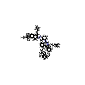 CC1(C)C(/C=C/C2=C(Oc3ccc(CCC(=O)ON4C(=O)CCC4=O)cc3)C(=C/C=C3/N(CCC[N+](C)(C)C)c4ccccc4C3(C)C)/CCC2)=[N+](CCC[N+](C)(C)C)c2ccc(S(=O)(=O)O)cc21